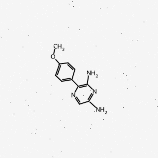 COc1ccc(-c2ncc(N)nc2N)cc1